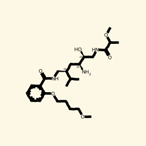 COCCCCOc1ccccc1C(=O)NC[C@@H](C[C@H](N)[C@@H](O)CNC(=O)C(C)OC)C(C)C